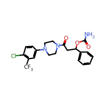 NC(=O)OC(CC(=O)N1CCN(c2ccc(Cl)c(C(F)(F)F)c2)CC1)c1ccccc1